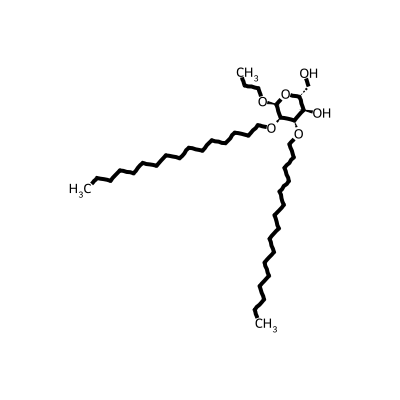 CCCCCCCCCCCCCCCCO[C@@H]1[C@@H](OCCC)O[C@H](CO)[C@@H](O)[C@@H]1OCCCCCCCCCCCCCCCC